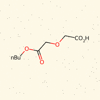 CCCCOC(=O)COCC(=O)O